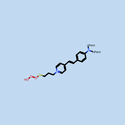 CCCCCN(CCCCC)c1ccc(C=Cc2cc[n+](CCCSOOO)cc2)cc1